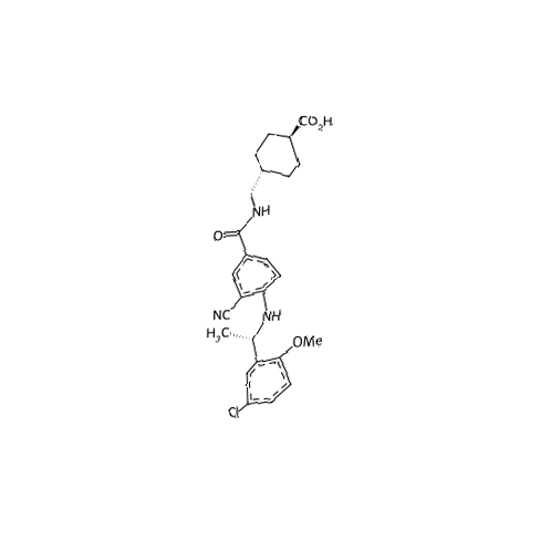 COc1ccc(Cl)cc1[C@H](C)Nc1ccc(C(=O)NC[C@H]2CC[C@H](C(=O)O)CC2)cc1C#N